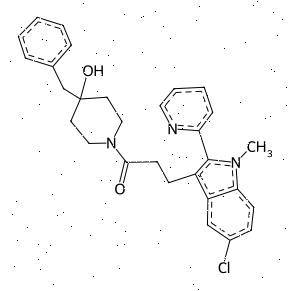 Cn1c(-c2ccccn2)c(CCC(=O)N2CCC(O)(Cc3ccccc3)CC2)c2cc(Cl)ccc21